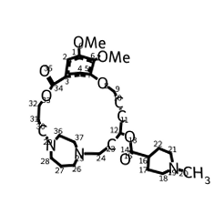 COc1cc2cc(c1OC)OCCCC(OC(=O)C1CCN(C)CC1)CCN1CCCN(CCCOC2=O)CC1